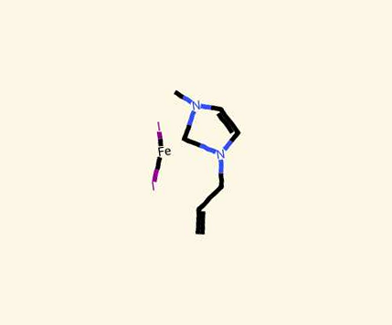 C=CCN1C=CN(C)C1.[I][Fe][I]